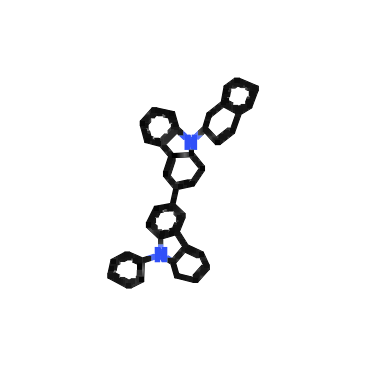 C1=CCC2C(=C1)c1cc(C3=CCC4C(=C3)c3ccccc3N4C3C=Cc4ccccc4C3)ccc1N2c1ccccc1